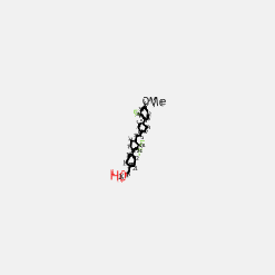 COc1ccc(-c2ccc(CCc3ccc(-c4ccc(CO)cc4)c(F)c3F)cc2)c(F)c1